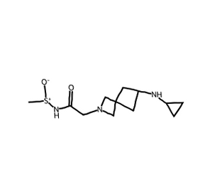 C[S+]([O-])NC(=O)CN1CC2(CC(NC3CC3)C2)C1